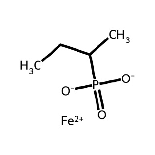 CCC(C)P(=O)([O-])[O-].[Fe+2]